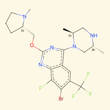 C[C@@H]1CN(c2nc(OC[C@@H]3CCCN3C)nc3c(F)c(Br)c(C(F)(F)F)cc23)[C@@H](C)CN1